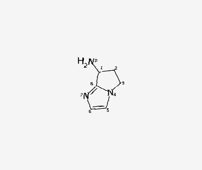 NC1CCn2ccnc21